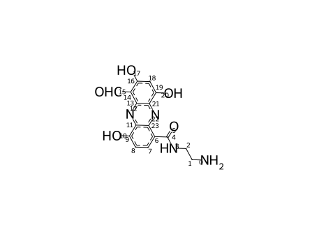 NCCNC(=O)c1ccc(O)c2nc3c(C=O)c(O)cc(O)c3nc12